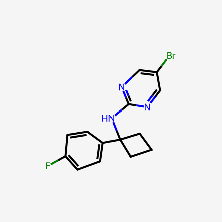 Fc1ccc(C2(Nc3ncc(Br)cn3)CCC2)cc1